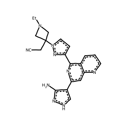 CCN1CC(CC#N)(n2ccc(-c3nc(-c4c[nH]nc4N)cc4ncccc34)n2)C1